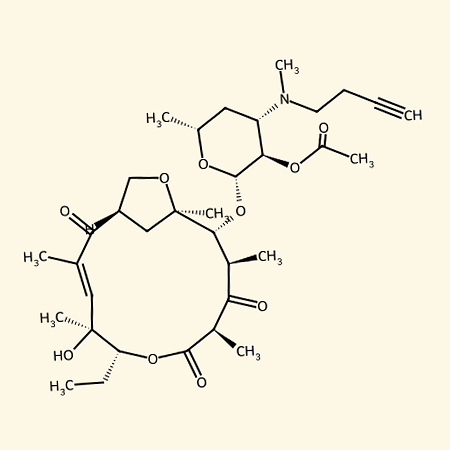 C#CCCN(C)[C@H]1C[C@@H](C)O[C@@H](O[C@@H]2[C@@H](C)C(=O)[C@@H](C)C(=O)O[C@H](CC)[C@@](C)(O)/C=C(\C)C(=O)[C@@H]3CO[C@]2(C)C3)[C@@H]1OC(C)=O